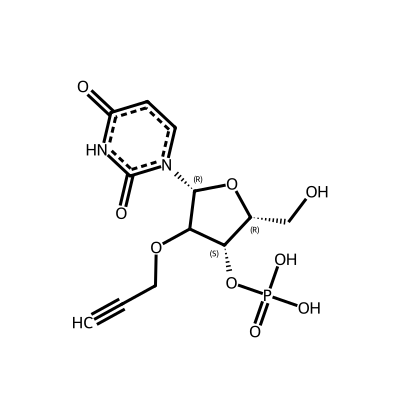 C#CCOC1[C@@H](OP(=O)(O)O)[C@@H](CO)O[C@H]1n1ccc(=O)[nH]c1=O